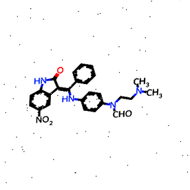 CN(C)CCN(C=O)c1ccc(NC(=C2C(=O)Nc3ccc([N+](=O)[O-])cc32)c2ccccc2)cc1